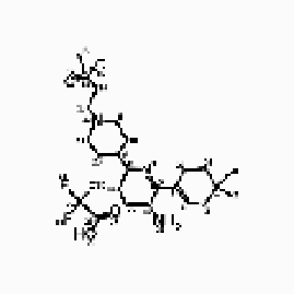 CC1(C)CC=C(C2=NC(C3CCN(CCS(C)(=O)=O)CC3)CC=C2N)CC1.O=C(O)C(F)(F)F